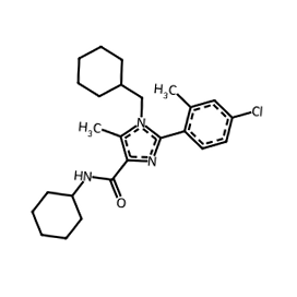 Cc1cc(Cl)ccc1-c1nc(C(=O)NC2CCCCC2)c(C)n1CC1CCCCC1